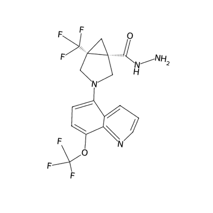 NNC(=O)[C@]12CN(c3ccc(OC(F)(F)F)c4ncccc34)C[C@@]1(C(F)(F)F)C2